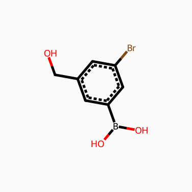 OCc1cc(Br)cc(B(O)O)c1